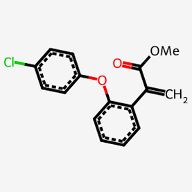 C=C(C(=O)OC)c1ccccc1Oc1ccc(Cl)cc1